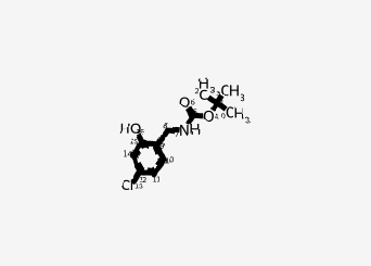 CC(C)(C)OC(=O)NCc1ccc(Cl)cc1O